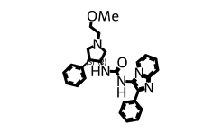 COCCN1C[C@H](NC(=O)Nc2c(-c3ccccc3)nc3ccccn23)[C@@H](c2ccccc2)C1